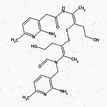 CC(NC(=O)Cc1ccc(C)nc1N)=C(CCO)SSC(CCO)=C(C)N(C=O)Cc1ccc(C)nc1N